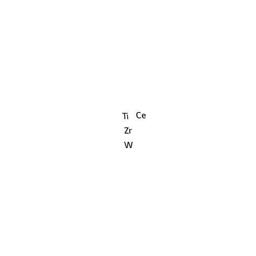 [Ce].[Ti].[W].[Zr]